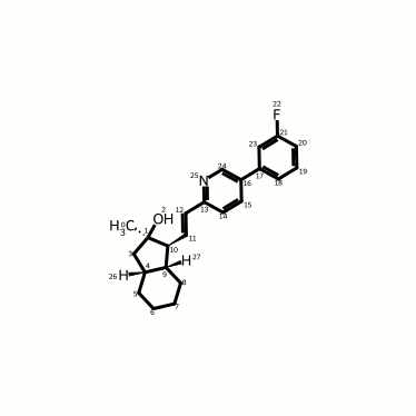 C[C@@]1(O)C[C@H]2CCCC[C@H]2[C@@H]1/C=C/c1ccc(-c2cccc(F)c2)cn1